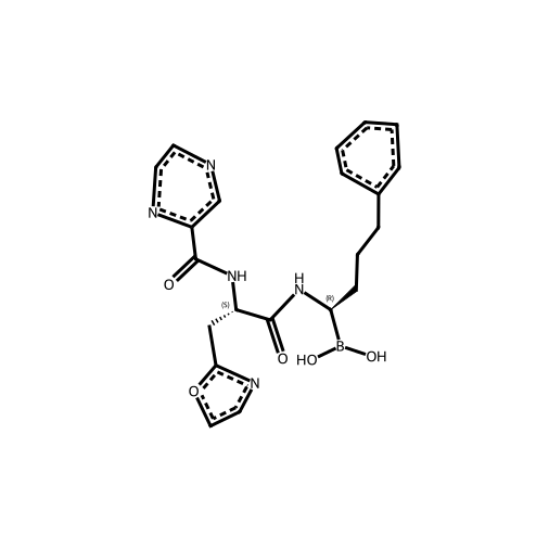 O=C(N[C@@H](Cc1ncco1)C(=O)N[C@@H](CCCc1ccccc1)B(O)O)c1cnccn1